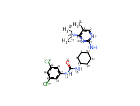 Cc1cnc(N[C@H]2CC[C@@H](NC(=O)Nc3cc(Cl)cc(Cl)c3)CC2)nc1N(C)C